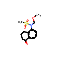 COCN(c1cccc2c1CCCC2=O)S(C)(=O)=O